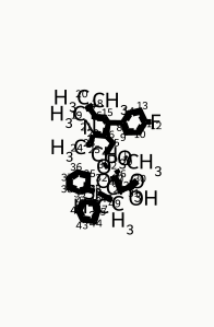 COP(=O)(CCc1c(-c2ccc(F)cc2)cc(C(C)(C)C)nc1C(C)C)C[C@H](CC(=O)O)O[Si](c1ccccc1)(c1ccccc1)C(C)(C)C